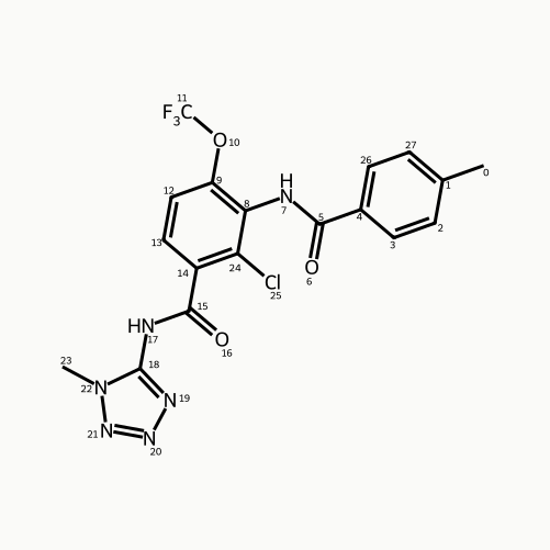 Cc1ccc(C(=O)Nc2c(OC(F)(F)F)ccc(C(=O)Nc3nnnn3C)c2Cl)cc1